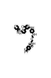 N#CC1(CNc2cccc(-c3cc(NC4CCC(NCCOCCNS(=O)(=O)c5ccc(C(F)(F)F)cc5)CC4)ncc3Cl)n2)CCOCC1